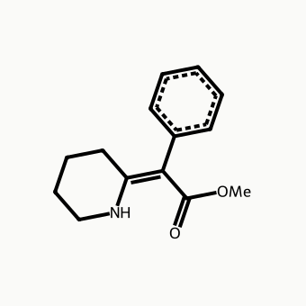 COC(=O)C(=C1CCCCN1)c1ccccc1